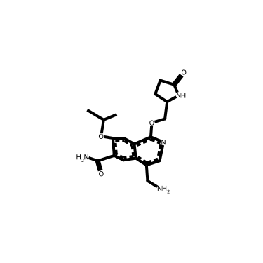 CC(C)Oc1cc2c(OCC3CCC(=O)N3)ncc(CN)c2cc1C(N)=O